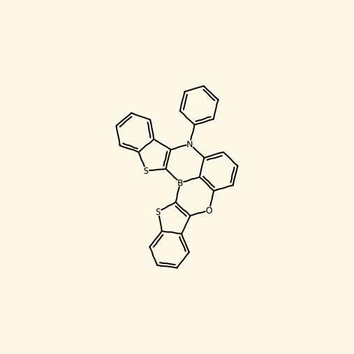 c1ccc(N2c3cccc4c3B(c3sc5ccccc5c3O4)c3sc4ccccc4c32)cc1